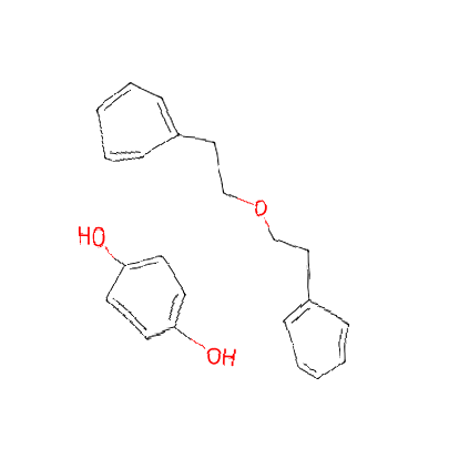 Oc1ccc(O)cc1.c1ccc(CCOCCc2ccccc2)cc1